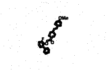 COc1ccc(CCC2CCN(C(=O)COc3c(F)cccc3-c3ccccc3)CC2)cc1